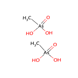 C[As](=O)(O)O.C[As](=O)(O)O